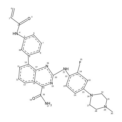 C=CC(=O)Nc1cccc(-c2cccc3c(C(N)=O)nc(Nc4ccc(N5CCN(C)CC5)cc4F)nc23)c1